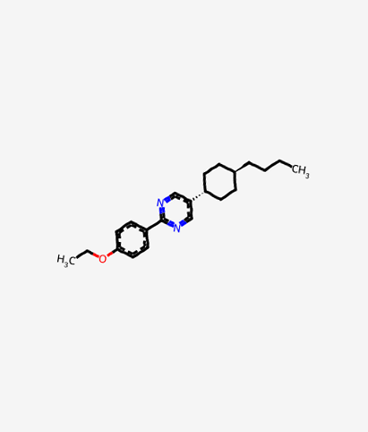 CCCC[C@H]1CC[C@H](c2cnc(-c3ccc(OCC)cc3)nc2)CC1